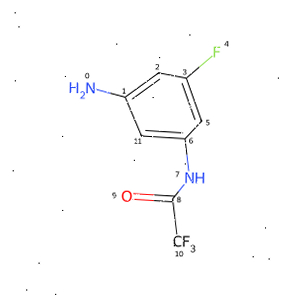 Nc1cc(F)cc(NC(=O)C(F)(F)F)c1